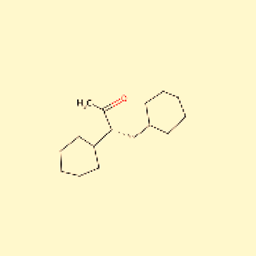 CC(=O)[C@H](CC1CCCCC1)C1CCCCC1